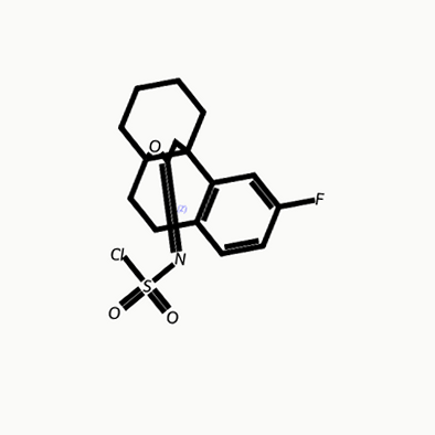 O=S(=O)(Cl)/N=C1/CC23CCCCC2(CCc2ccc(F)cc23)O1